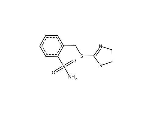 NS(=O)(=O)c1ccccc1CSC1=NCCS1